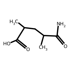 CC(CC(C)C(=O)O)C(N)=O